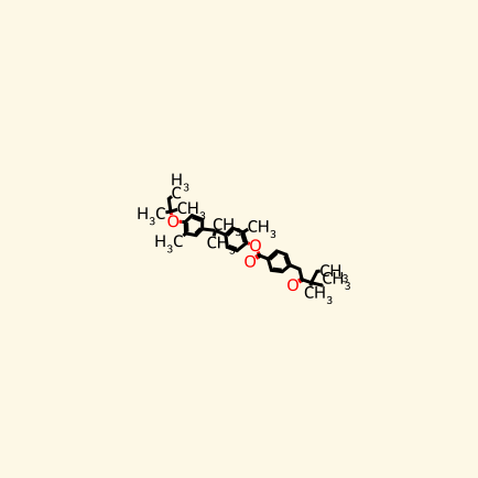 CCC(C)(C)Oc1ccc(C(C)(C)c2ccc(OC(=O)c3ccc(CC(=O)C(C)(CC)CC)cc3)c(C)c2)cc1C